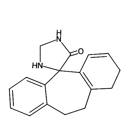 O=C1NCNC12C1=C(CCC=C1)CCc1ccccc12